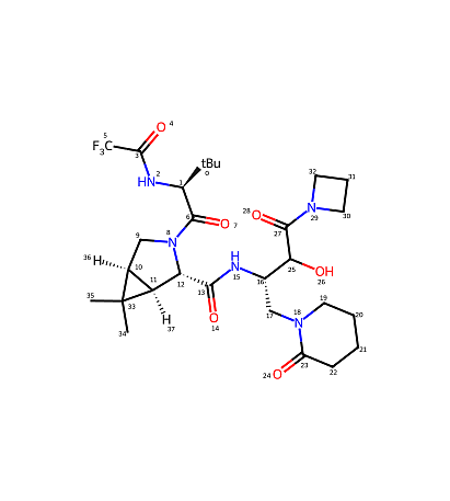 CC(C)(C)[C@H](NC(=O)C(F)(F)F)C(=O)N1C[C@H]2[C@@H]([C@H]1C(=O)N[C@@H](CN1CCCCC1=O)C(O)C(=O)N1CCC1)C2(C)C